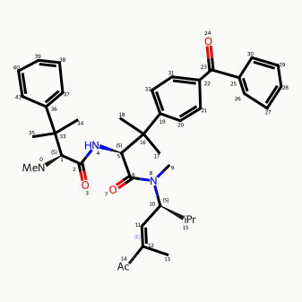 CN[C@H](C(=O)N[C@H](C(=O)N(C)[C@H](/C=C(\C)C(C)=O)C(C)C)C(C)(C)c1ccc(C(=O)c2ccccc2)cc1)C(C)(C)c1ccccc1